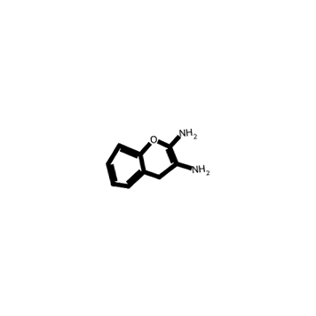 NC1=C(N)Oc2ccccc2C1